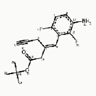 C#CC/C(=C\c1c(F)ccc(N)c1F)CC(=O)OC(C)(C)C